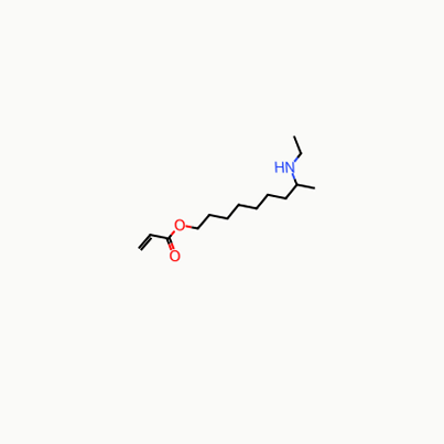 C=CC(=O)OCCCCCCCC(C)NCC